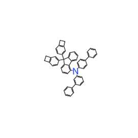 c1ccc(-c2ccc(N(c3cccc(-c4ccccc4)c3)c3cccc4c3-c3ccccc3C4(c3ccc4c(c3)CC4)c3ccc4c(c3)CC4)cc2)cc1